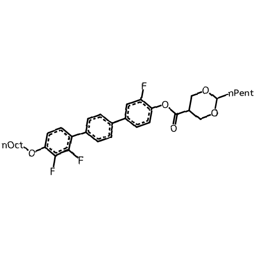 CCCCCCCCOc1ccc(-c2ccc(-c3ccc(OC(=O)C4COC(CCCCC)OC4)c(F)c3)cc2)c(F)c1F